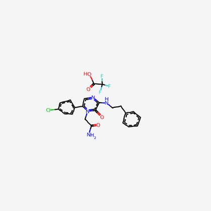 NC(=O)Cn1c(-c2ccc(Cl)cc2)cnc(NCCc2ccccc2)c1=O.O=C(O)C(F)(F)F